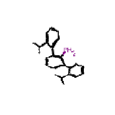 CC(C)c1ccccc1-c1cccc(-c2ccccc2C(C)C)c1P